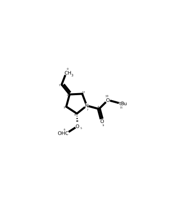 CC=C1C[C@@H](OC=O)N(C(=O)OC(C)(C)C)C1